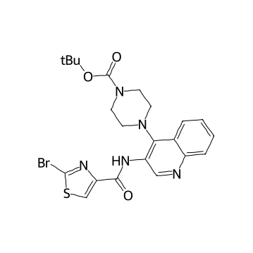 CC(C)(C)OC(=O)N1CCN(c2c(NC(=O)c3csc(Br)n3)cnc3ccccc23)CC1